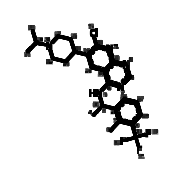 Cc1c([C@@H](C)Nc2ncnc3nc(Cl)c(C4CCN(C(C)C)CC4)cc23)cccc1C(F)(F)F